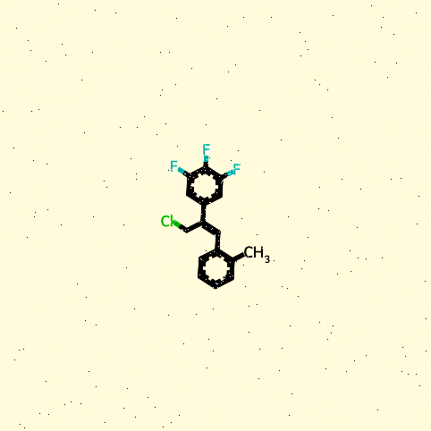 Cc1ccccc1/C=C(\CCl)c1cc(F)c(F)c(F)c1